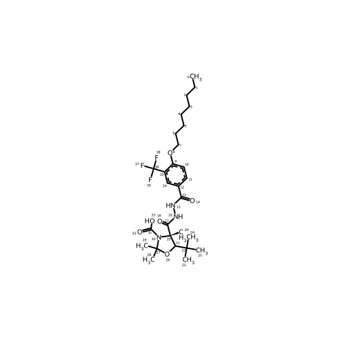 CCCCCCCCOc1ccc(C(=O)NNC(=O)[C@]2(C)C(C(C)(C)C)OC(C)(C)N2C(=O)O)cc1C(F)(F)F